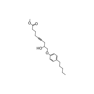 CCCCCc1ccc(OCC(O)CC#CCCCC(=O)OC)cc1